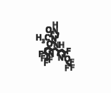 CC1C(=O)NCCN1C(=O)NC(c1cnc(OCC(F)(F)F)c(F)c1)c1ccc(F)c(C(F)(F)F)n1